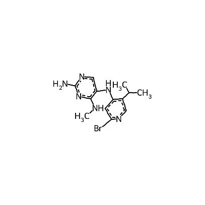 CNc1nc(N)ncc1Nc1cc(Br)ncc1C(C)C